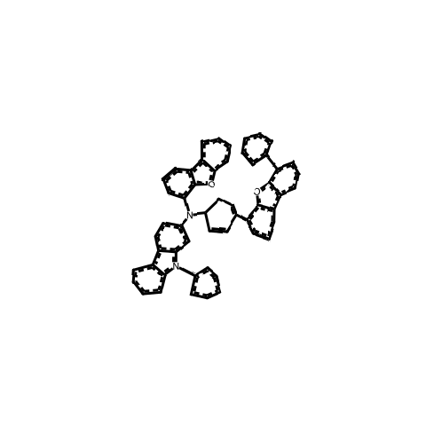 C1=CC(N(c2ccc3c4ccccc4n(-c4ccccc4)c3c2)c2cccc3c2oc2ccccc23)CC=C1c1cccc2c1oc1c(-c3ccccc3)cccc12